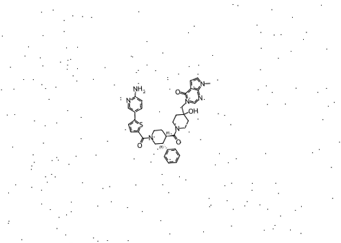 Cn1ccc2c(=O)n(CC3(O)CCN(C(=O)[C@@H]4CCN(C(=O)c5ccc(-c6ccc(N)nc6)s5)C[C@H]4c4ccccc4)CC3)cnc21